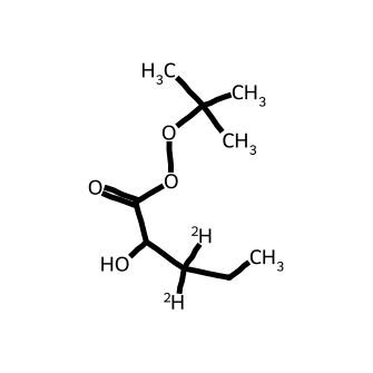 [2H]C([2H])(CC)C(O)C(=O)OOC(C)(C)C